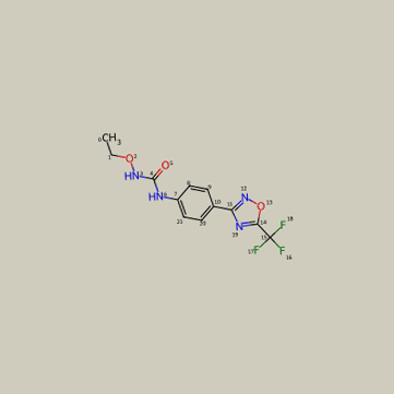 CCONC(=O)Nc1ccc(-c2noc(C(F)(F)F)n2)cc1